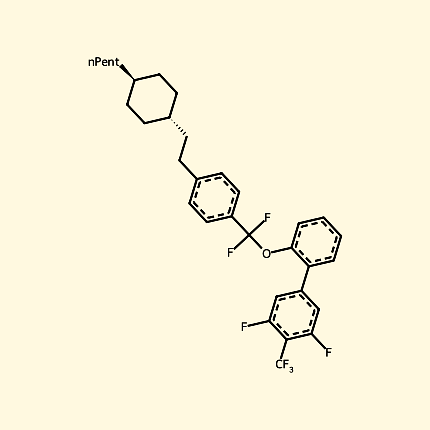 CCCCC[C@H]1CC[C@H](CCc2ccc(C(F)(F)Oc3ccccc3-c3cc(F)c(C(F)(F)F)c(F)c3)cc2)CC1